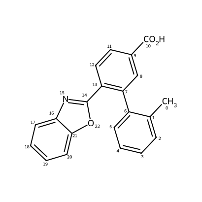 Cc1ccccc1-c1cc(C(=O)O)ccc1-c1nc2ccccc2o1